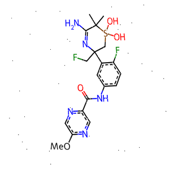 COc1cnc(C(=O)Nc2ccc(F)c(C3(CF)CS(O)(O)C(C)(C)C(N)=N3)c2)cn1